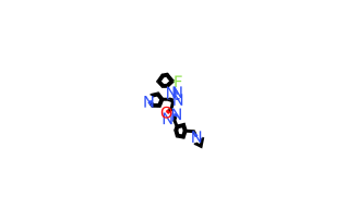 Fc1ccccc1-n1nnc(-c2nc(-c3cccc(CN4CCC4)c3)no2)c1-c1ccncc1